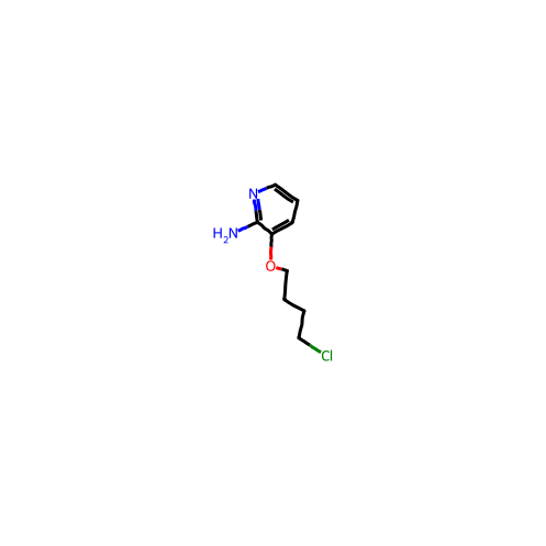 Nc1ncccc1OCCCCCl